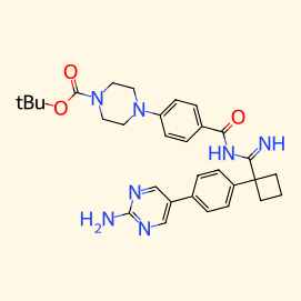 CC(C)(C)OC(=O)N1CCN(c2ccc(C(=O)NC(=N)C3(c4ccc(-c5cnc(N)nc5)cc4)CCC3)cc2)CC1